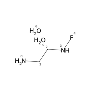 NCCNF.O.O